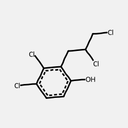 Oc1ccc(Cl)c(Cl)c1CC(Cl)CCl